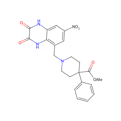 COC(=O)C1(c2ccccc2)CCN(Cc2cc([N+](=O)[O-])cc3[nH]c(=O)c(=O)[nH]c23)CC1